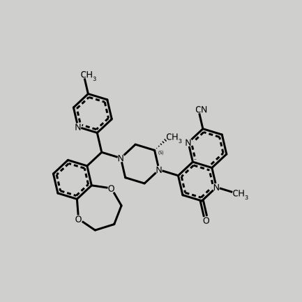 Cc1ccc(C(c2cccc3c2OCCCO3)N2CCN(c3cc(=O)n(C)c4ccc(C#N)nc34)[C@@H](C)C2)nc1